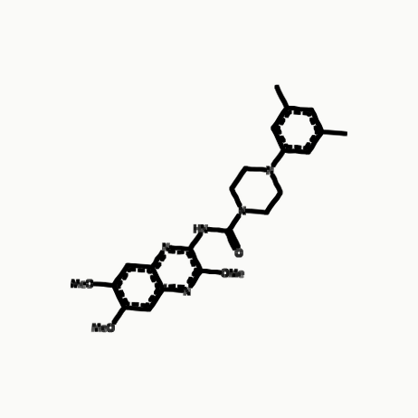 COc1cc2nc(NC(=O)N3CCN(c4cc(C)cc(C)c4)CC3)c(OC)nc2cc1OC